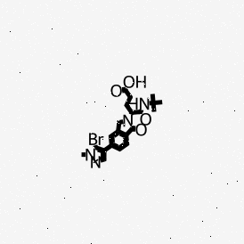 Cn1ncc(-c2ccc3c(c2)CN(C(CCC(=O)O)C(=O)NC(C)(C)C)C3=O)c1Br